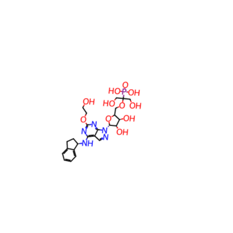 O=P(O)(O)C(CO)(CO)OCC1O[C@@H](n2ncc3c(N[C@@H]4CCc5ccccc54)nc(OCCO)nc32)[C@H](O)[C@@H]1O